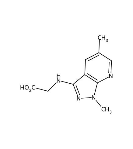 Cc1cnc2c(c1)c(NCC(=O)O)nn2C